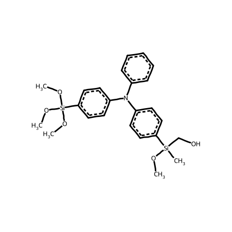 CO[Si](C)(CO)c1ccc(N(c2ccccc2)c2ccc([Si](OC)(OC)OC)cc2)cc1